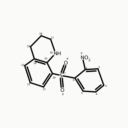 O=[N+]([O-])c1ccccc1S(=O)(=O)c1cccc2c1NCCC2